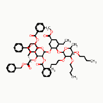 CCCCOC1C(OC2C(CC)CC(C(=O)OC)CC2OC2OC(COC(=O)c3ccccc3)C(OC(=O)c3ccccc3)C(O[C@@H](CC3CCCCC3)C(=O)OCc3ccccc3)C2OC(=O)c2ccccc2)OC(C)[C@@H](OCCCC)C1OCCCC